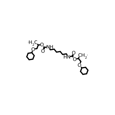 [CH2]C(COC1CCCCC1)OC(=O)NCCCCCCNC(=O)OC([CH2])COC1CCCCC1